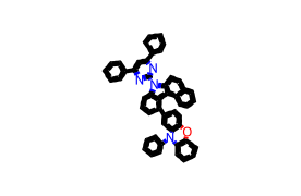 c1ccc(-c2cc(-c3ccccc3)nc(-n3c4cccc(-c5ccc6c(c5)N(c5ccccc5)c5ccccc5O6)c4c4c5ccccc5ccc43)n2)cc1